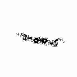 C=CC(=O)OC(COc1ccc(C(C)(C)c2ccc(OCC(OCC)OC(=O)C=C)cc2)cc1)OCC